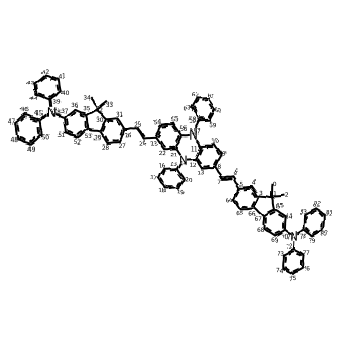 CC1(C)c2cc(/C=C/c3ccc4c(c3)N(c3ccccc3)c3cc(/C=C/c5ccc6c(c5)C(C)(C)c5cc(N(c7ccccc7)c7ccccc7)ccc5-6)ccc3N4c3ccccc3)ccc2-c2ccc(N(c3ccccc3)c3ccccc3)cc21